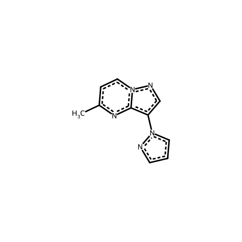 Cc1ccn2ncc(-n3cccn3)c2n1